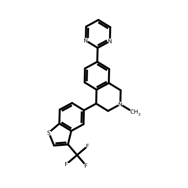 CN1Cc2cc(-c3ncccn3)ccc2C(c2ccc3scc(C(F)(F)F)c3c2)C1